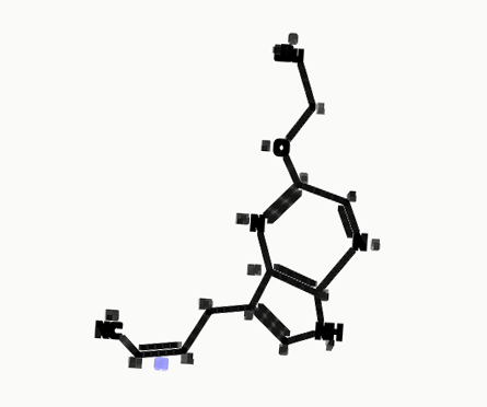 CC(C)(C)COc1cnc2[nH]cc(C/C=C\C#N)c2n1